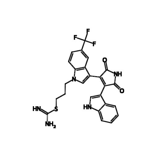 N=C(N)SCCCn1cc(C2=C(c3c[nH]c4ccccc34)C(=O)NC2=O)c2cc(C(F)(F)F)ccc21